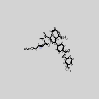 COC/C=C/C(=O)N(C)C(C)c1nc(-c2ccc(C(=O)Nc3cc(C(F)(F)F)ccn3)cc2)c2c(N)nccn12